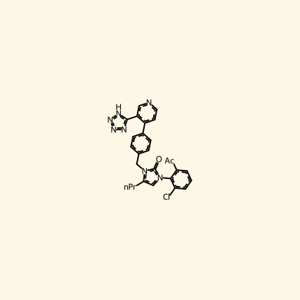 CCCc1cn(-c2c(Cl)cccc2C(C)=O)c(=O)n1Cc1ccc(-c2ccncc2-c2nnn[nH]2)cc1